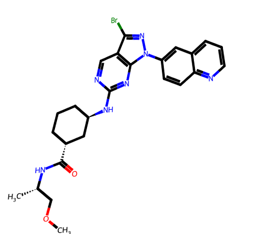 COC[C@H](C)NC(=O)[C@@H]1CCC[C@@H](Nc2ncc3c(Br)nn(-c4ccc5ncccc5c4)c3n2)C1